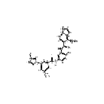 CNc1c(C(=O)Nc2cc(NC(=O)c3cc(-n4cnc(C)c4)cc(C(F)(F)F)c3)ccc2C)cnc2[nH]ccc12